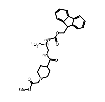 CC(C)(C)OC(=O)CN1CCC(C(=O)NC[C@H](NC(=O)OCC2c3ccccc3-c3ccccc32)C(=O)O)CC1